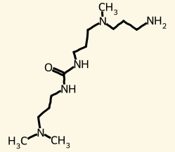 CN(C)CCCNC(=O)NCCCN(C)CCCN